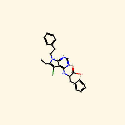 CCc1c(Br)c2c(NC(Cc3ccccc3)C(=O)O)ncnc2n1CCc1ccccc1